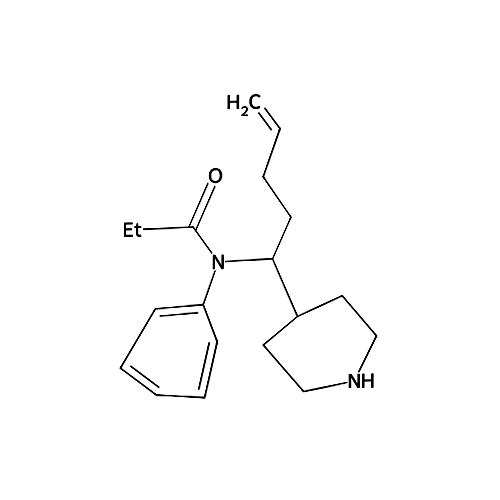 C=CCCC(C1CCNCC1)N(C(=O)CC)c1ccccc1